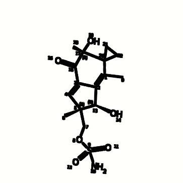 CC1=C2C(=C[C@@](C)(COS(N)(=O)=O)[C@@H]2O)C(=O)[C@](C)(O)C12CC2